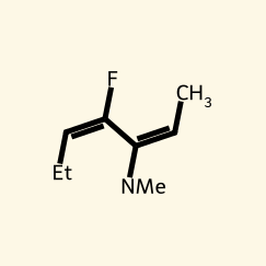 C/C=C(NC)\C(F)=C/CC